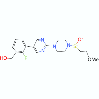 COCC[S+]([O-])N1CCN(c2ncc(-c3cccc(CO)c3F)cn2)CC1